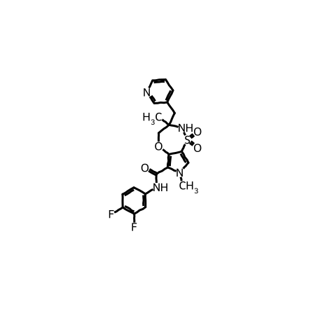 Cn1cc2c(c1C(=O)Nc1ccc(F)c(F)c1)OCC(C)(Cc1cccnc1)NS2(=O)=O